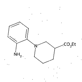 CCOC(=O)C1CCCN(c2ccccc2N)C1